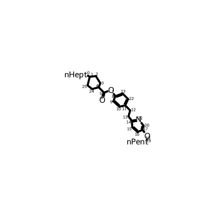 CCCCCCCC1CCC(C(=O)Oc2ccc(CCc3ccc(OCCCCC)cn3)cc2)CC1